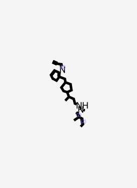 C#C/C=N\C1=C(CC2CCC(C(C)CCNN(C)/C=C(C)\C=C/C)CC2)CCC=C1